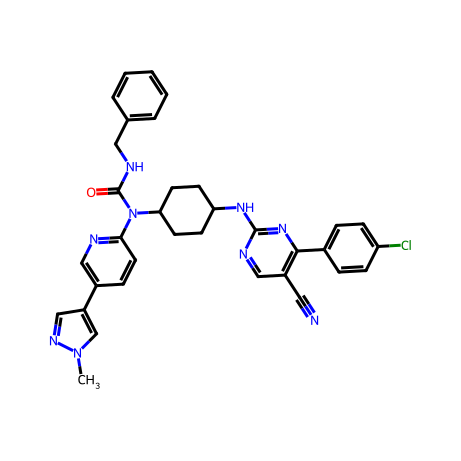 Cn1cc(-c2ccc(N(C(=O)NCc3ccccc3)C3CCC(Nc4ncc(C#N)c(-c5ccc(Cl)cc5)n4)CC3)nc2)cn1